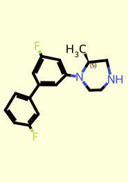 C[C@H]1CNCCN1c1cc(F)cc(-c2cccc(F)c2)c1